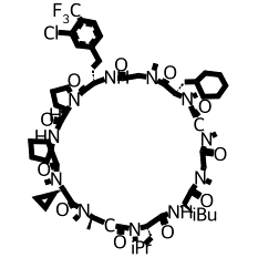 CC[C@H](C)[C@@H]1NC(=O)[C@H](CC(C)C)N(C)C(=O)C[C@@H](C)N(C)C(=O)[C@H](C2CC2)N(C)C(=O)C2(CCCC2)NC(=O)[C@@H]2CCCN2C(=O)[C@H](CCc2ccc(C(F)(F)F)c(Cl)c2)NC(=O)CN(C)C(=O)[C@H](CC2CCCCC2)N(C)C(=O)CN(C)C(=O)CN(C)C1=O